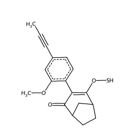 CC#Cc1ccc(C2=C(OS)C3CCC(C3)C2=O)c(OC)c1